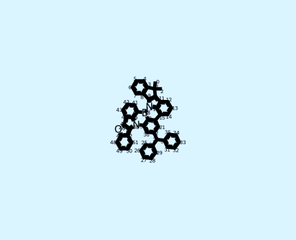 CC1(C)c2ccccc2-c2c1c1cccc3c1n2B1c2c-3cc(C(c3ccccc3)c3ccccc3)cc2-n2c3c1cccc3c1oc3ccccc3c12